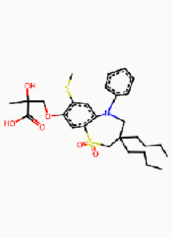 CCCCC1(CCCC)CN(c2ccccc2)c2cc(SC)c(OCC(C)(O)C(=O)O)cc2S(=O)(=O)C1